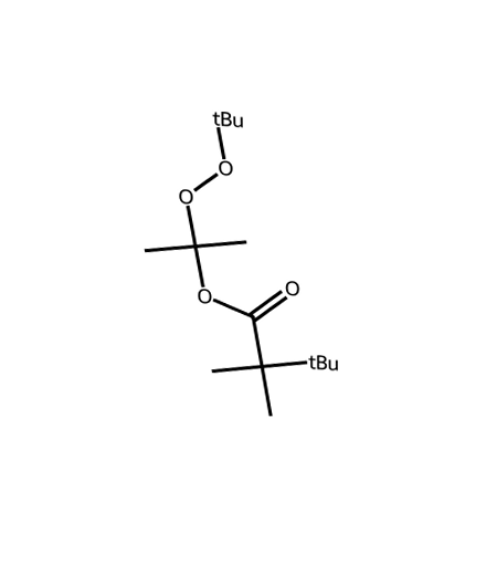 CC(C)(C)OOC(C)(C)OC(=O)C(C)(C)C(C)(C)C